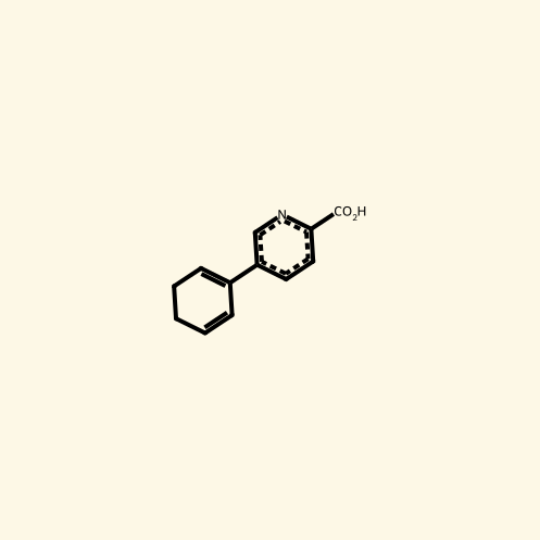 O=C(O)c1ccc(C2=CCCC=C2)cn1